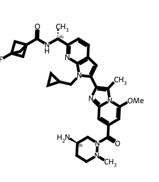 COc1cc(C(=O)N2C[C@H](N)CCN2C)cc2nc(-c3cc4ccc([C@@H](C)NC(=O)C56CC(F)(C5)C6)nc4n3CC3CC3)c(C)n12